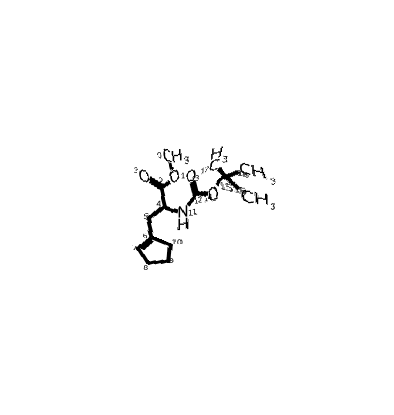 COC(=O)C(CC1=CCCC1)NC(=O)OC(C)(C)C